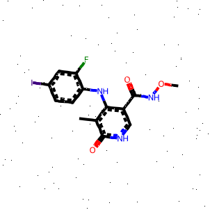 CONC(=O)c1c[nH]c(=O)c(C)c1Nc1ccc(I)cc1F